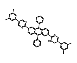 Cc1cc(C)cc(C2=CN=C(c3ccc4c(-c5ccccc5)c5cc(-c6ncc(-c7cc(C)cc(C)c7)cn6)ccc5c(-c5ccccc5)c4c3)NC2)c1